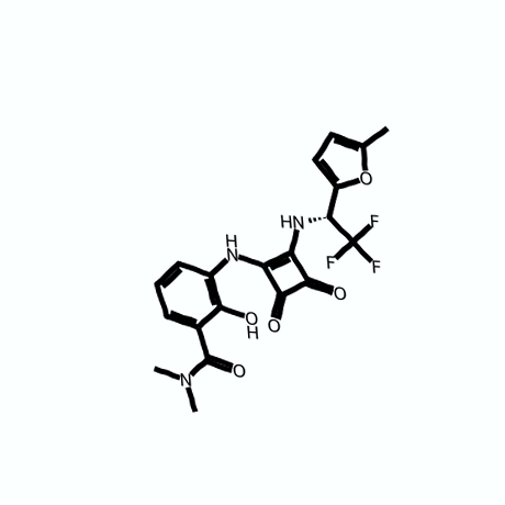 Cc1ccc([C@@H](Nc2c(Nc3cccc(C(=O)N(C)C)c3O)c(=O)c2=O)C(F)(F)F)o1